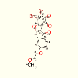 COCCOc1ccc(C(=O)c2coc3c2C(=O)C(=O)C(Br)=C3Br)cc1